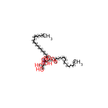 CC/C=C\C/C=C\C/C=C\C/C=C\CCCCC(=O)OC[C@H](COP(=O)(O)OC[C@@H](O)CO)OC(=O)CCCCCCCCC/C=C\C/C=C\CCCCC